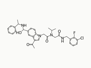 CC(=O)c1cn(CC(=O)N(CC(=O)NCc2cccc(Cl)c2F)C(C)C)c2ccc(C(O)NC(C)c3ccccc3)cc12